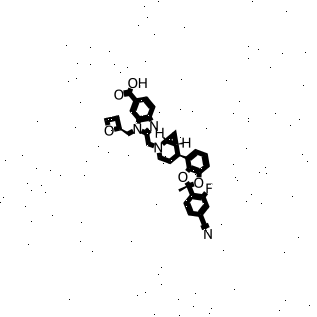 C[C@]1(c2ccc(C#N)cc2F)Oc2cccc([C@H]3CCN(Cc4nc5ccc(C(=O)O)cc5n4C[C@@H]4CCO4)[C@H]4C[C@@H]34)c2O1